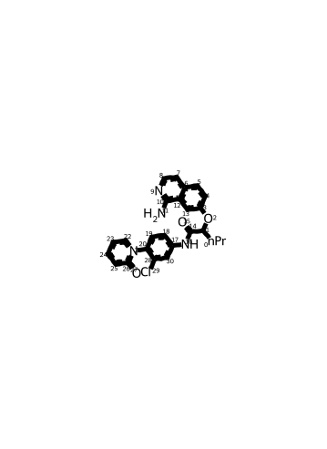 CCCC(Oc1ccc2ccnc(N)c2c1)C(=O)Nc1ccc(-n2ccccc2=O)c(Cl)c1